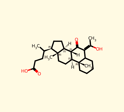 CC(O)=C1C(=O)[C@H]2[C@@H]3CC[C@H](C(C)CCC(=O)O)[C@@]3(C)CC[C@@H]2[C@@]2(C)CCCCC12